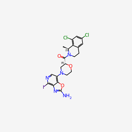 C[C@H]1c2c(Cl)cc(Cl)cc2CCN1C(=O)[C@H]1CN(c2cnc(I)c3nc(N)oc23)CCO1